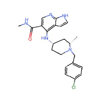 CNC(=O)c1cnc2[nH]ccc2c1N[C@H]1CCN(Cc2ccc(Cl)cc2)[C@@H](C)C1